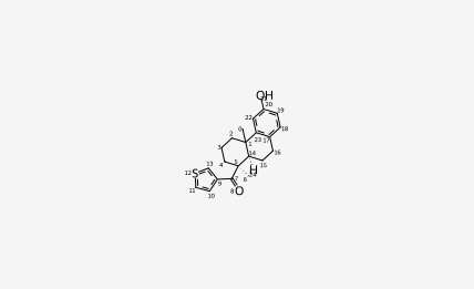 CC12CCC[C@](C)(C(=O)c3ccsc3)[C@@H]1CCc1ccc(O)cc12